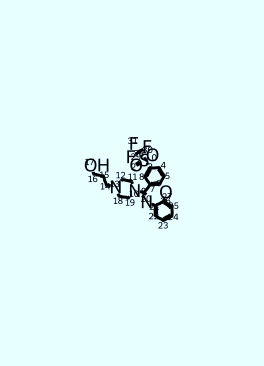 O=S(=O)(c1ccc2c(c1)C(N1CCN(CCCO)CC1)=Nc1ccccc1O2)C(F)(F)F